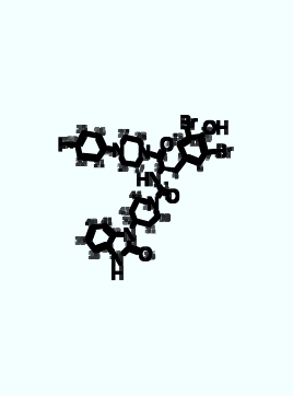 O=C(N[C@H](Cc1cc(Br)c(O)c(Br)c1)C(=O)N1CCN(c2ccc(F)cc2)CC1)N1CCC(n2c(=O)[nH]c3ccccc32)CC1